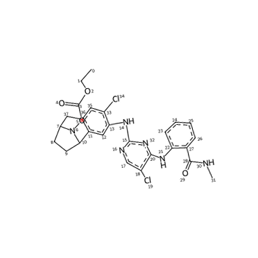 CCOC(=O)ON1C2CCC1c1cc(Nc3ncc(Cl)c(Nc4ccccc4C(=O)NC)n3)c(Cl)cc1C2